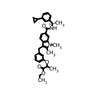 CCOC(=O)C(C)Oc1cccc(Cc2c(C)n(C)c3cc(C(=O)N[C@@H](C)c4cccc(C5CC5)c4)ccc23)c1